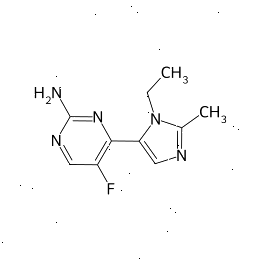 CCn1c(-c2nc(N)ncc2F)cnc1C